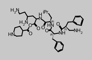 CC(C)C[C@@H](NC(=O)[C@@H](Cc1ccccc1)NC(=O)[C@H](CN)Cc1ccccc1)C(=O)NC(CC(N)CCN)C(=O)OC(=O)C1CCNCC1